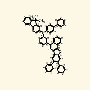 CC1(C)c2ccccc2-c2ccc(N(c3ccc(-c4ccccc4)cc3)c3cccc(-c4cc5c6cc(-c7ccccc7)c(-c7ccccc7)cc6oc5c5ccccc45)c3)cc21